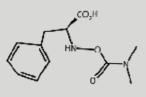 CN(C)C(=O)ON[C@@H](Cc1ccccc1)C(=O)O